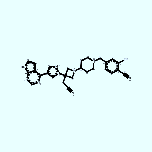 N#CCC1(n2cc(-c3ncnc4[nH]ccc34)cn2)CN(C2CCN(Cc3ccc(C#N)c(F)c3)CC2)C1